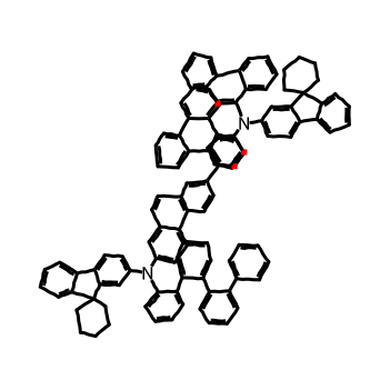 c1ccc(-c2ccccc2-c2ccccc2-c2ccccc2N(c2ccc3c(c2)C2(CCCCC2)c2ccccc2-3)c2ccc3c(ccc4cc(-c5ccc(N(c6ccc7c(c6)C6(CCCCC6)c6ccccc6-7)c6cc7ccccc7c7ccccc67)c(-c6ccccc6-c6ccccc6-c6ccccc6)c5)ccc43)c2)cc1